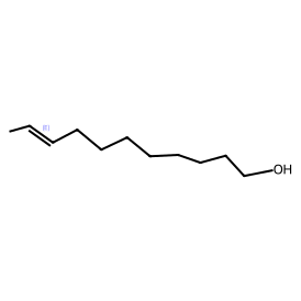 C/C=C/CCCCCCCCO